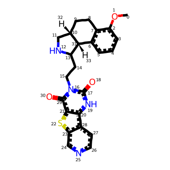 COc1cccc2c1CC[C@H]1CNC(CCn3c(=O)[nH]c4c(sc5cnccc54)c3=O)[C@@H]21